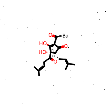 CCC(C)C(=O)C1=C(O)[C@](O)(C(=O)CC=C(C)C)[C@@H](CC=C(C)C)C1=O